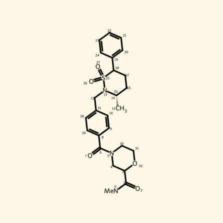 CNC(=O)C1CN(C(=O)c2ccc(CN3[C@@H](C)CCC(c4ccccc4)S3(=O)=O)cc2)CCO1